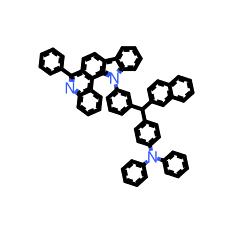 c1ccc(-c2nc3ccccc3c3c2ccc2c4ccccc4n(-c4cccc(C(c5ccc(N(c6ccccc6)c6ccccc6)cc5)c5ccc6ccccc6c5)c4)c23)cc1